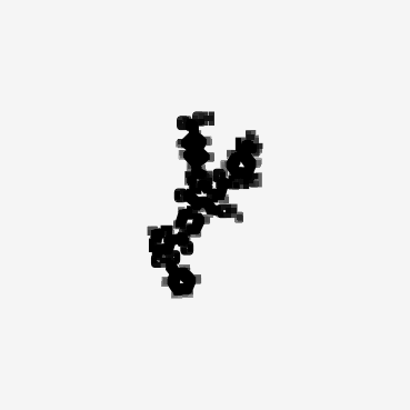 CCc1c(N2CCN(C(=O)c3ncnc(C)c3OCc3ccccc3)CC2)c(=O)n2nc(C3=CC4(C3)CC(C(=O)O)C4)nc2n1CC(=O)Nc1ccc(C(F)(F)F)cc1Cl